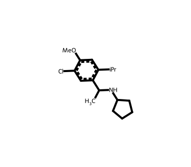 COc1cc(C(C)C)c(C(C)NC2CCCC2)cc1Cl